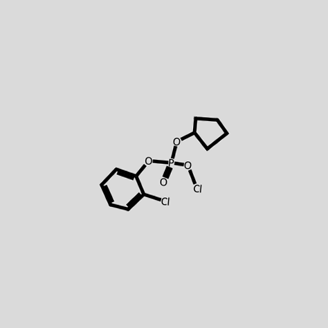 O=P(OCl)(Oc1ccccc1Cl)OC1CCCC1